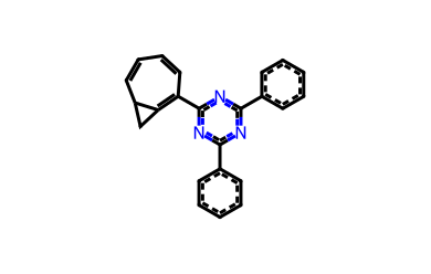 C1=CC(c2nc(-c3ccccc3)nc(-c3ccccc3)n2)=C2CC2C=C1